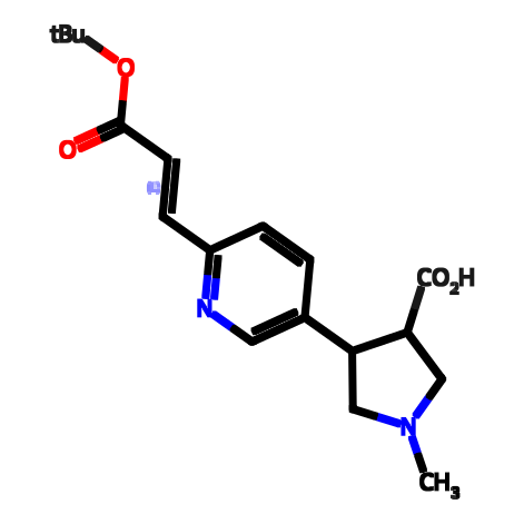 CN1CC(C(=O)O)C(c2ccc(/C=C/C(=O)OC(C)(C)C)nc2)C1